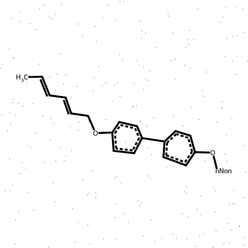 C/C=C/C=C/COc1ccc(-c2ccc(OCCCCCCCCC)cc2)cc1